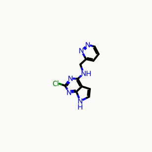 Clc1nc(NCc2cccnn2)c2cc[nH]c2n1